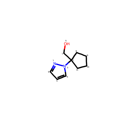 OCC1(n2c[c]cn2)CCCC1